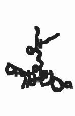 CCCN(CCC)C(=O)CCCC(=O)N[C@@H](Cc1ccc(OC)cc1)[C@H](O)CNCc1ccccc1